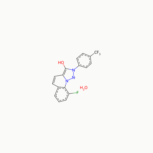 O.OC1=C2C=Cc3cccc(F)c3N2[N]N1c1ccc(C(F)(F)F)cc1